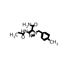 CCC(=O)Nc1ncn(Cc2ccc(C)cc2)c1C(N)=O